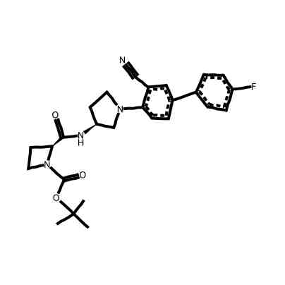 CC(C)(C)OC(=O)N1CC[C@H]1C(=O)N[C@H]1CCN(c2ccc(-c3ccc(F)cc3)cc2C#N)C1